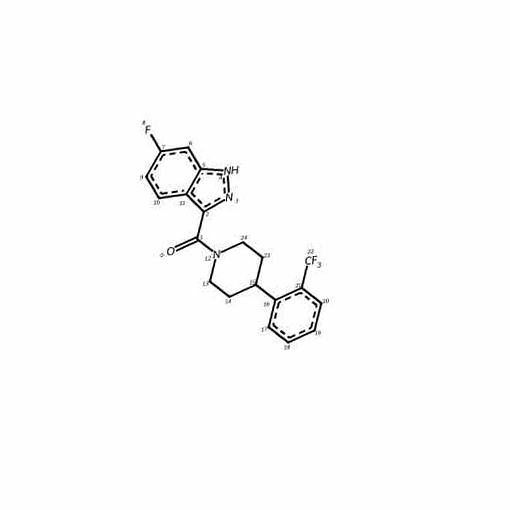 O=C(c1n[nH]c2cc(F)ccc12)N1CCC(c2ccccc2C(F)(F)F)CC1